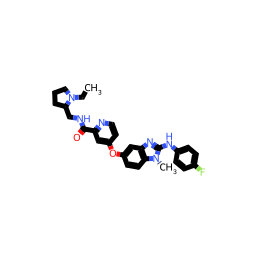 CCN1CCCC1CNC(=O)c1cc(Oc2ccc3c(c2)nc(Nc2ccc(F)cc2)n3C)ccn1